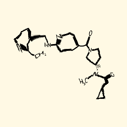 Cc1ncccc1CNc1ccc(C(=O)N2CC[C@H](N(C)C(=O)C3CC3)C2)cn1